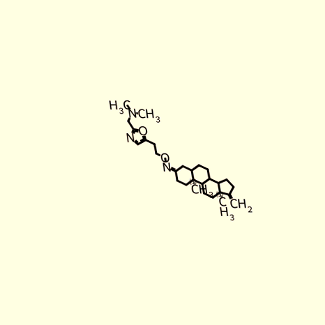 C=C1CCC2C3CCC4CC(=NOCCc5cnc(CN(C)C)o5)CC[C@]4(C)C3CC[C@]12C